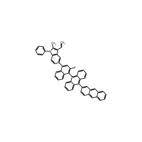 C=Cc1c(C)n(-c2ccccc2)c2ccc(-c3cc(F)c(-c4c5ccccc5c(-c5ccc6cc7ccccc7cc6c5)c5ccccc45)c4ccccc34)cc12